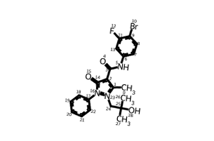 Cc1c(C(=O)Nc2ccc(Br)c(F)c2)c(=O)n(-c2ccccc2)n1CC(C)(C)O